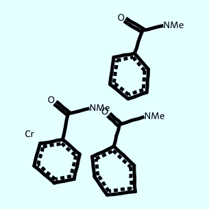 CNC(=O)c1ccccc1.CNC(=O)c1ccccc1.CNC(=O)c1ccccc1.[Cr]